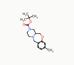 Cc1ccc2c(c1)OCC1CN(C(=O)OC(C)(C)C)CCN1C2